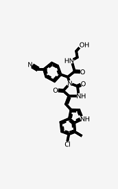 Cc1c(Cl)ccc2c(/C=C3\NC(=O)N(C(C(=O)NCCO)c4ccc(C#N)cc4)C3=O)c[nH]c12